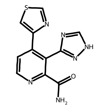 NC(=O)c1nccc(-c2cscn2)c1-c1nc[nH]n1